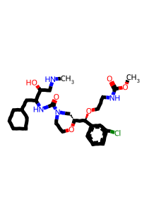 CNCC(O)C(CC1CCCCC1)NC(=O)N1CCO[C@@H]([C@@H](OCCNC(=O)OC)c2cccc(Cl)c2)C1